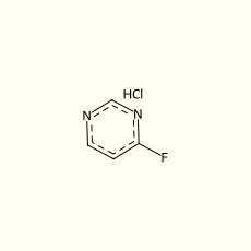 Cl.Fc1ccncn1